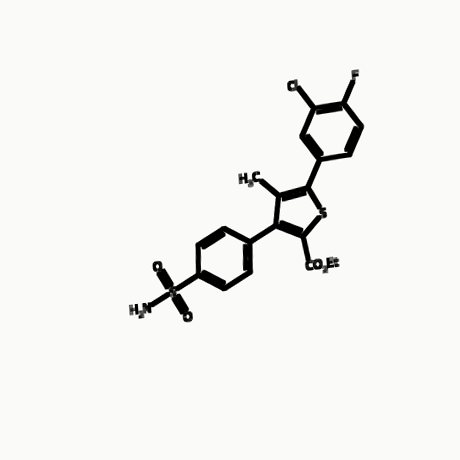 CCOC(=O)c1sc(-c2ccc(F)c(Cl)c2)c(C)c1-c1ccc(S(N)(=O)=O)cc1